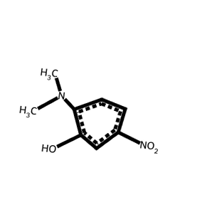 CN(C)c1ccc([N+](=O)[O-])cc1O